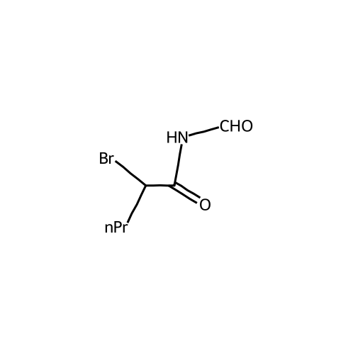 CCCC(Br)C(=O)NC=O